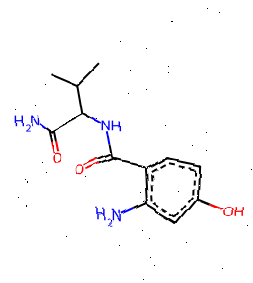 CC(C)C(NC(=O)c1ccc(O)cc1N)C(N)=O